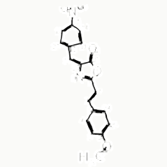 COc1ccc(C=CC2=NC(=Cc3ccc([N+](=O)[O-])cc3)C(=O)O2)cc1